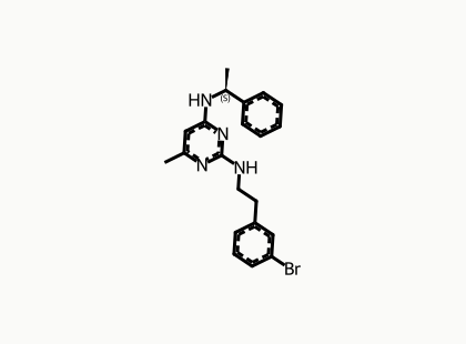 Cc1cc(N[C@@H](C)c2ccccc2)nc(NCCc2cccc(Br)c2)n1